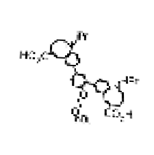 CCCCOCCOc1ccc(-c2ccc3c(c2)C=C(C(=O)O)CCCN3CC(C)C)cc1-c1ccc2c(c1)C=C(C(=O)O)CCCN2CC(C)C